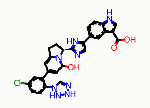 O=C(O)c1c[nH]c2ccc(-c3cnc([C@@H]4CCC5=CC(c6cc(Cl)ccc6N6C=NNN6)=CC(O)N54)[nH]3)cc12